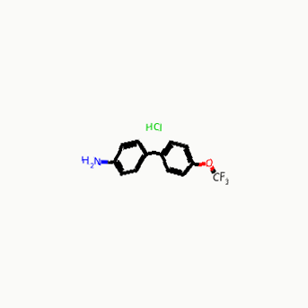 Cl.Nc1ccc(-c2ccc(OC(F)(F)F)cc2)cc1